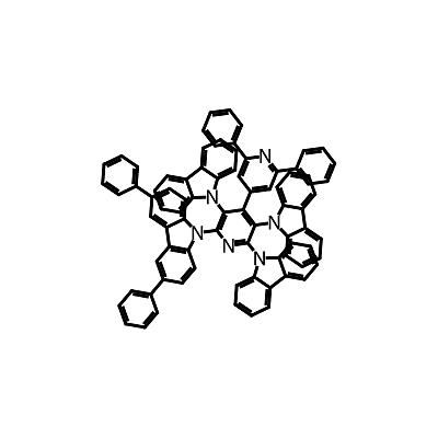 c1ccc(-c2ccc3c(c2)c2cc(-c4ccccc4)ccc2n3-c2nc(-n3c4ccccc4c4ccccc43)c(-n3c4ccccc4c4ccccc43)c(-c3cc(-c4ccccc4)nc(-c4ccccc4)c3)c2-n2c3ccccc3c3ccccc32)cc1